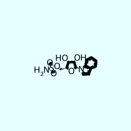 NS(=O)(=O)OC[C@H]1O[C@@H](n2ccc3ccccc32)[C@H](O)[C@@H]1O